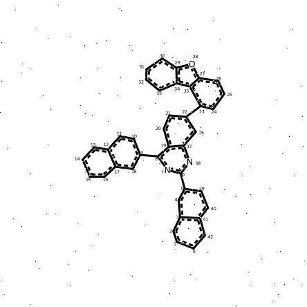 c1ccc2cc(-c3nc(-c4ccc5ccccc5c4)c4ccc(-c5cccc6oc7ccccc7c56)cc4n3)ccc2c1